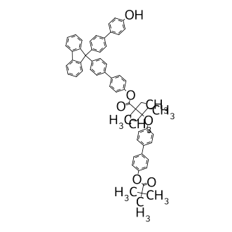 CCC(CC)(Oc1ccc(-c2ccc(OC(=O)C(C)(C)C)cc2)cc1)C(CC)(CC)C(=O)Oc1ccc(-c2ccc(C3(c4ccc(-c5ccc(O)cc5)cc4)c4ccccc4-c4ccccc43)cc2)cc1